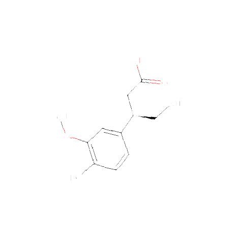 CC[C@H](CC(=O)O)c1ccc(C)c(OC)c1